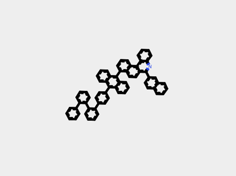 c1ccc(-c2ccccc2-c2ccccc2-c2ccc(-c3c4ccccc4c(-c4cccc5c4ccc4c(-c6ccc7ccccc7c6)nc6ccccc6c45)c4ccccc34)cc2)cc1